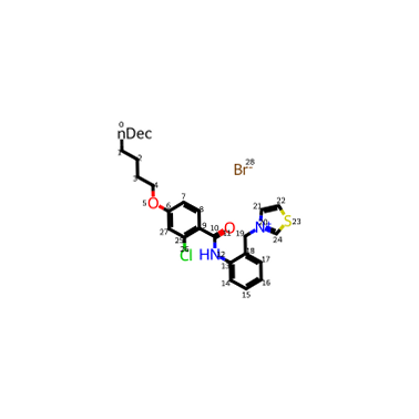 CCCCCCCCCCCCCCOc1ccc(C(=O)Nc2ccccc2C[n+]2ccsc2)c(Cl)c1.[Br-]